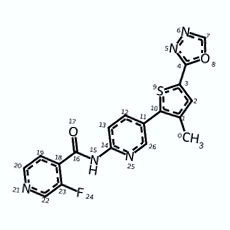 Cc1cc(-c2nnco2)sc1-c1ccc(NC(=O)c2ccncc2F)nc1